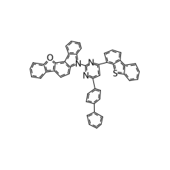 c1ccc(-c2ccc(-c3cc(-c4cccc5c4sc4ccccc45)nc(-n4c5ccccc5c5c6oc7ccccc7c6ccc54)n3)cc2)cc1